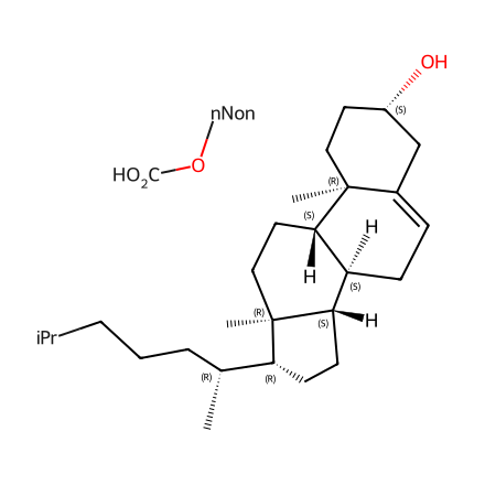 CC(C)CCC[C@@H](C)[C@H]1CC[C@H]2[C@@H]3CC=C4C[C@@H](O)CC[C@]4(C)[C@H]3CC[C@]12C.CCCCCCCCCOC(=O)O